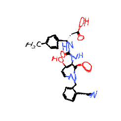 Cc1ccc([C@H](CC(=O)O)NC(=O)Nc2c(O)ccn(Cc3ccccc3C#N)c2=O)cc1